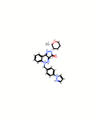 CC[C@@H]1OCCC[C@@H]1n1nc2c3ccccc3n(Cc3ccc(-n4cccn4)cc3)nc-2c1=O